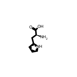 N[C@@H](Cc1ccc[nH]1)C(=O)O